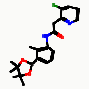 Cc1c(NC(=O)Cc2ncccc2F)cccc1B1OC(C)(C)C(C)(C)O1